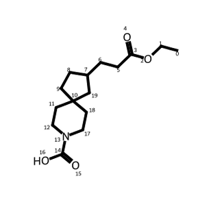 CCOC(=O)CCC1CCC2(CCN(C(=O)O)CC2)C1